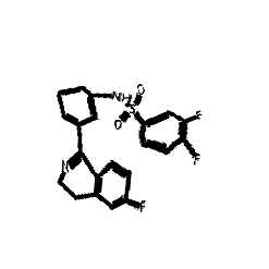 O=S(=O)(Nc1cccc(C2=NCCc3cc(F)ccc32)c1)c1ccc(F)c(F)c1